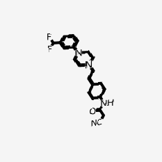 N#CCC(=O)NC1CCC(CCN2CCN(c3cccc(C(F)F)c3)CC2)CC1